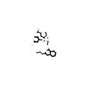 CCCCc1cc2ccccc2c(OCC[N+](C)(C)[C@@]2(Cc3ccnc(O)c3)CCOC(C(N)=O)[C@@H]2O)n1